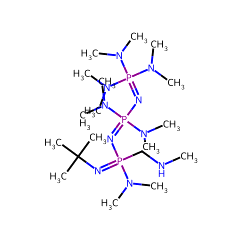 CNCP(=NC(C)(C)C)(N=P(N=P(N(C)C)(N(C)C)N(C)C)(N(C)C)N(C)C)N(C)C